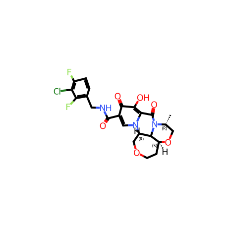 C[C@@H]1CO[C@H]2CCOC[C@H]3C2N1C(=O)c1c(O)c(=O)c(C(=O)NCc2ccc(F)c(Cl)c2F)cn13